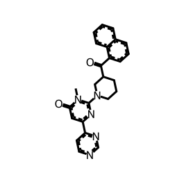 Cn1c(N2CCCC(C(=O)c3cccc4ccccc34)C2)nc(-c2ccncn2)cc1=O